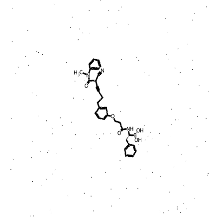 CN(C(=O)C(C#N)C#CCCc1cccc(OCCC(=O)N[C@@H](Cc2ccccc2)B(O)O)c1)c1ccccc1